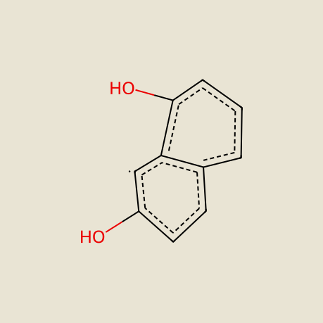 Oc1[c]c2c(O)cccc2cc1